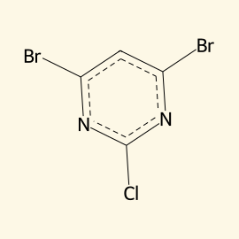 Clc1nc(Br)cc(Br)n1